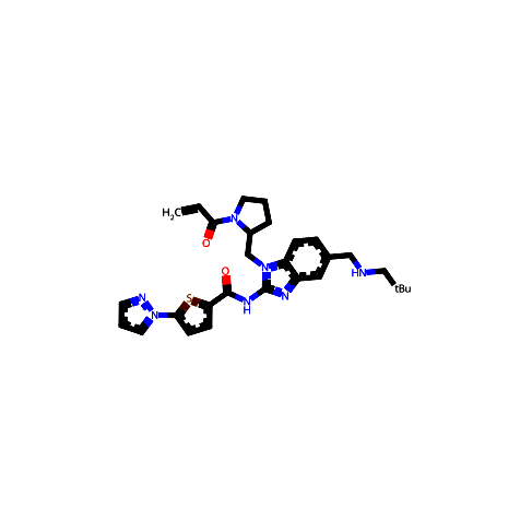 C=CC(=O)N1CCCC1Cn1c(NC(=O)c2ccc(-n3cccn3)s2)nc2cc(CNCC(C)(C)C)ccc21